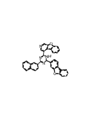 c1ccc2cc(C3=NC(c4ccc5c(c4)oc4ccccc45)NC(c4cncc5oc6ccccc6c45)=N3)ccc2c1